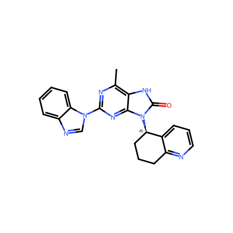 Cc1nc(-n2cnc3ccccc32)nc2c1[nH]c(=O)n2[C@@H]1CCCc2ncccc21